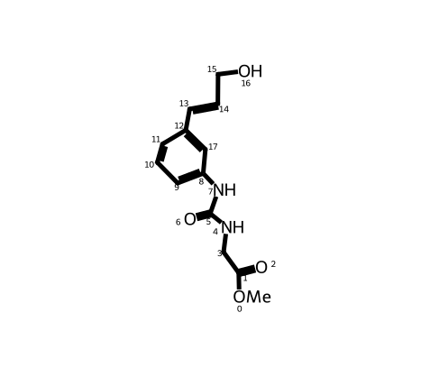 COC(=O)CNC(=O)Nc1cccc(/C=C/CO)c1